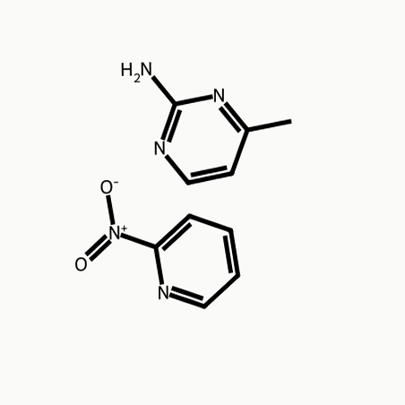 Cc1ccnc(N)n1.O=[N+]([O-])c1ccccn1